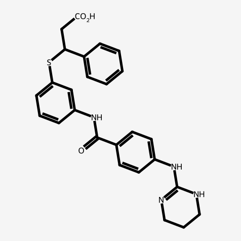 O=C(O)CC(Sc1cccc(NC(=O)c2ccc(NC3=NCCCN3)cc2)c1)c1ccccc1